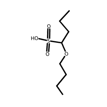 CCCCOC(CCC)S(=O)(=O)O